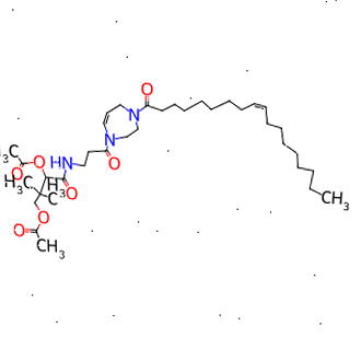 CCCCCCCC/C=C\CCCCCCCC(=O)N1CC=CN(C(=O)CCNC(=O)C(OC(C)=O)C(C)(C)COC(C)=O)CC1